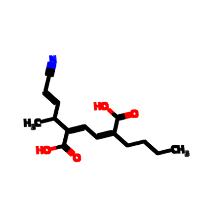 CCCCC(=CC=C(C(=O)O)C(C)C=CC#N)C(=O)O